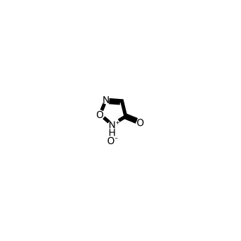 O=C1C=NO[NH+]1[O-]